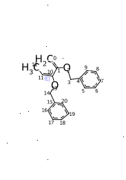 C=C(OCc1ccccc1)/C(=C\C)OCc1ccccc1